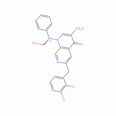 O=C(O)c1cn([C@@H](CO)c2ccccc2)c2cnc(Cc3cccc(Cl)c3F)cc2c1=O